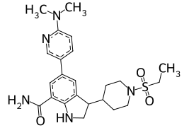 CCS(=O)(=O)N1CCC(C2CNc3c(C(N)=O)cc(-c4ccc(N(C)C)nc4)cc32)CC1